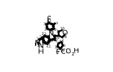 Cc1cc(-n2c(C3CCOCC3)c([C@@H]3CC[C@@](F)(C(=O)O)C3)c3cc4[nH]ncc4cc32)ccc1F